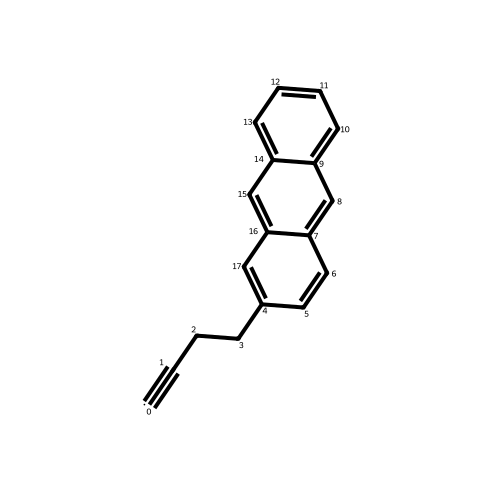 [C]#CCCc1ccc2cc3ccccc3cc2c1